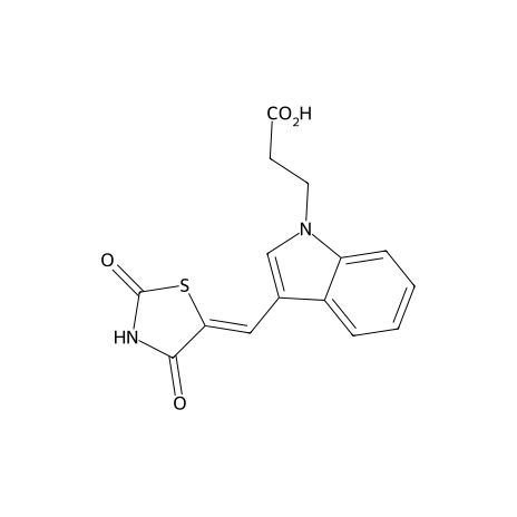 O=C(O)CCn1cc(/C=C2\SC(=O)NC2=O)c2ccccc21